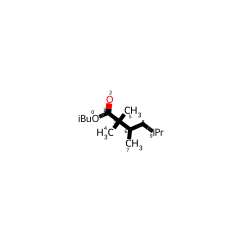 CC(C)COC(=O)C(C)(C)C(C)CC(C)C